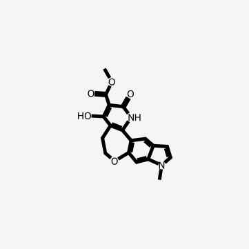 COC(=O)c1c(O)c2c([nH]c1=O)-c1cc3ccn(C)c3cc1OCC2